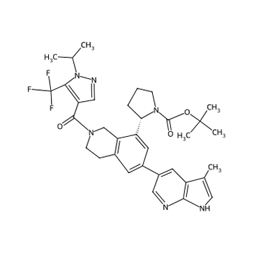 Cc1c[nH]c2ncc(-c3cc4c(c([C@@H]5CCCN5C(=O)OC(C)(C)C)c3)CN(C(=O)c3cnn(C(C)C)c3C(F)(F)F)CC4)cc12